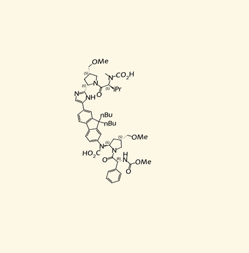 CCCCC1(CCCC)c2cc(-c3cnc([C@@H]4C[C@H](COC)CN4C(=O)[C@H](C(C)C)N(C)C(=O)O)[nH]3)ccc2-c2ccc(N(C(=O)O)[C@H]3C[C@H](COC)CN3C(=O)[C@H](NC(=O)OC)c3ccccc3)cc21